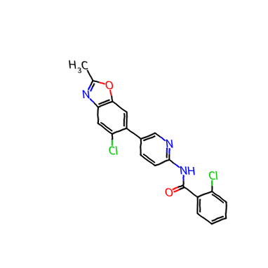 Cc1nc2cc(Cl)c(-c3ccc(NC(=O)c4ccccc4Cl)nc3)cc2o1